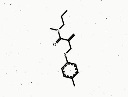 C=C(CSc1ccc(C)cc1)C(=O)N(C)CCC